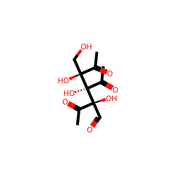 CC(=O)[C@@](O)([C@](O)(C=O)C(C)=O)[C@](O)(CO)C(C)=O